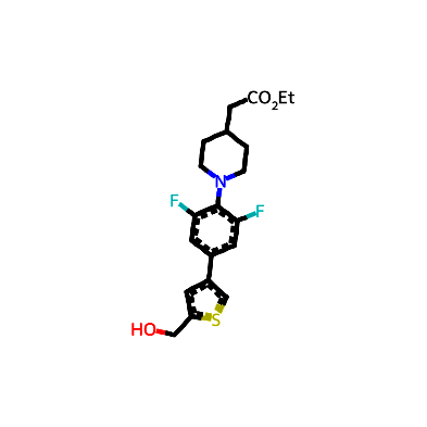 CCOC(=O)CC1CCN(c2c(F)cc(-c3csc(CO)c3)cc2F)CC1